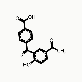 CC(=O)c1ccc(O)c(C(=O)c2ccc(C(=O)O)cc2)c1